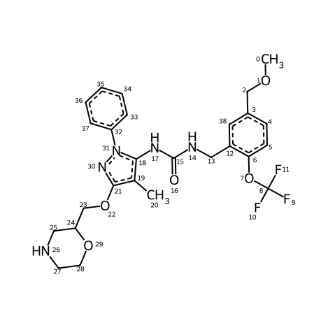 COCc1ccc(OC(F)(F)F)c(CNC(=O)Nc2c(C)c(OCC3CNCCO3)nn2-c2ccccc2)c1